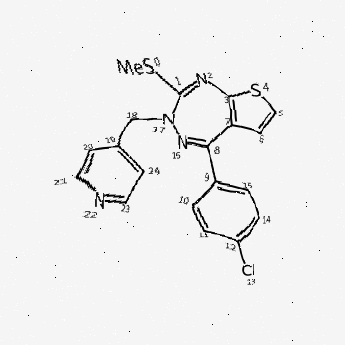 CSC1=Nc2sccc2C(c2ccc(Cl)cc2)=NN1Cc1ccncc1